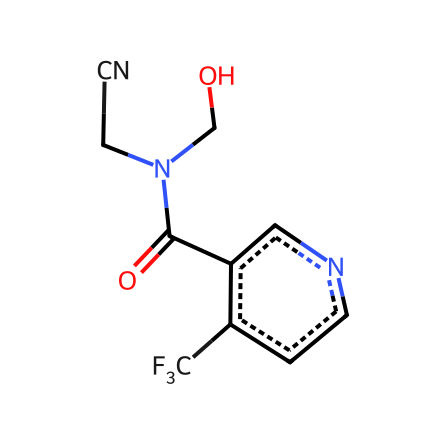 N#CCN(CO)C(=O)c1cnccc1C(F)(F)F